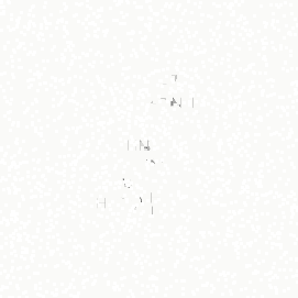 CC(C)(C)C(=O)CCC(=O)NCCCCC(N)C=O